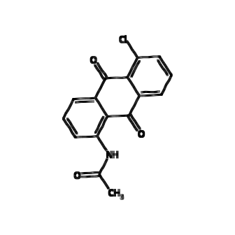 CC(=O)Nc1cccc2c1C(=O)c1cccc(Cl)c1C2=O